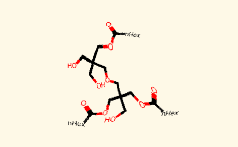 CCCCCCC(=O)OCC(CO)(CO)COCC(CO)(COC(=O)CCCCCC)COC(=O)CCCCCC